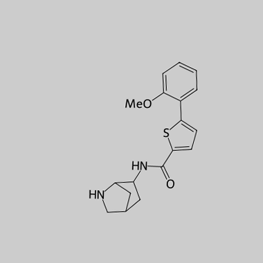 COc1ccccc1-c1ccc(C(=O)NC2CC3CNC2C3)s1